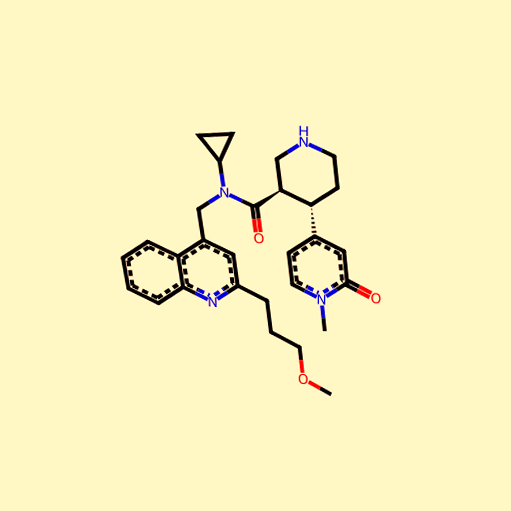 COCCCc1cc(CN(C(=O)[C@H]2CNCC[C@@H]2c2ccn(C)c(=O)c2)C2CC2)c2ccccc2n1